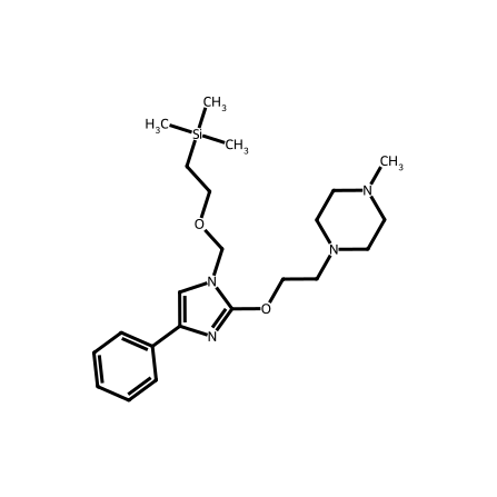 CN1CCN(CCOc2nc(-c3ccccc3)cn2COCC[Si](C)(C)C)CC1